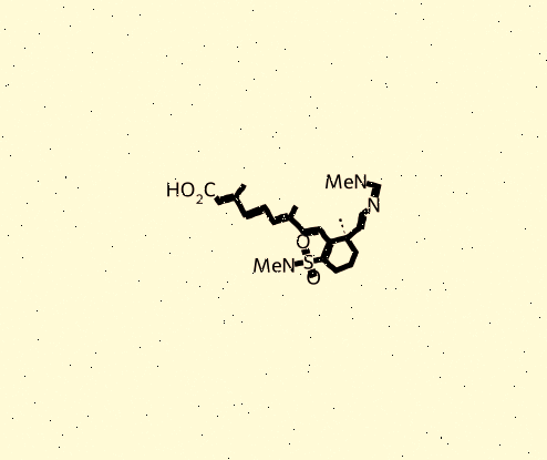 CN/C=N\C=C\[C@@]1(C)CCCC(S(=O)(=O)NC)=C1/C=C/C(C)=C/C=C/C(C)=C/C(=O)O